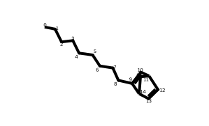 CCCCCCCCCC1=CC2C=CC1C2